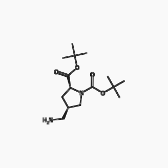 CC(C)(C)OC(=O)[C@@H]1C[C@H](CN)CN1C(=O)OC(C)(C)C